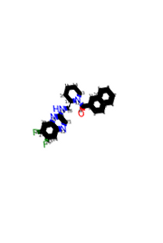 O=C(c1ccc2ccccc2c1)N1CCCC[C@H]1CNc1cnc2cc(F)c(F)cc2n1